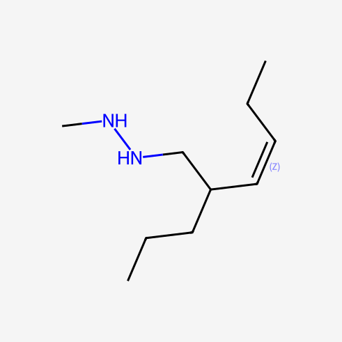 CC/C=C\C(CCC)CNNC